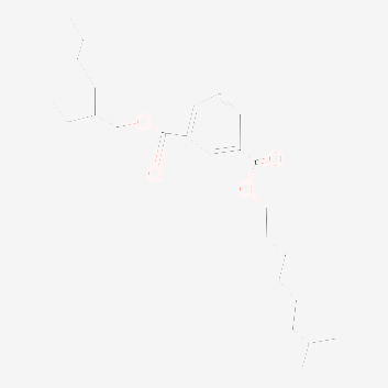 CCCCC(CC)COC(=O)c1cccc(C(=O)OCCCCCCC(C)C)c1